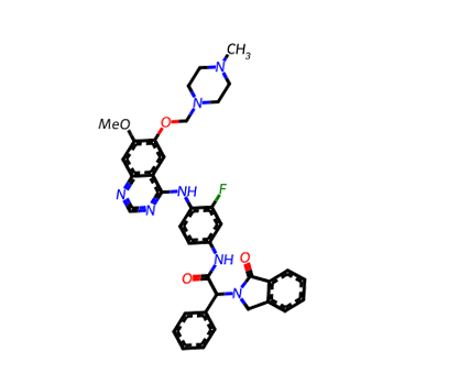 COc1cc2ncnc(Nc3ccc(NC(=O)C(c4ccccc4)N4Cc5ccccc5C4=O)cc3F)c2cc1OCN1CCN(C)CC1